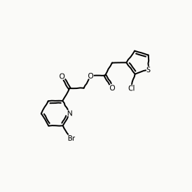 O=C(Cc1ccsc1Cl)OCC(=O)c1cccc(Br)n1